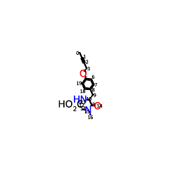 CC#CCOc1ccc(C[C@H](NC(=O)O)C(=O)N(C)C)cc1